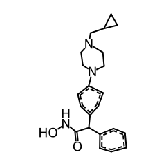 O=C(NO)C(c1ccccc1)c1ccc(N2CCN(CC3CC3)CC2)cc1